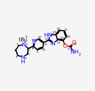 CC(C)(C)N1CCCNCC1c1ccc(-c2nc3c(OC(N)=O)cccc3[nH]2)cn1